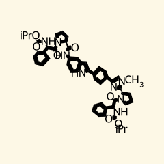 CC(C)OC(=O)N[C@@H](C(=O)N1CCC[C@H]1C(=O)Nc1ccc2[nH]c(-c3ccc(-c4cn(C)c([C@@H]5CCCN5C(=O)[C@H](NC(=O)OC(C)C)c5ccccc5)n4)cc3)cc2c1)c1ccccc1